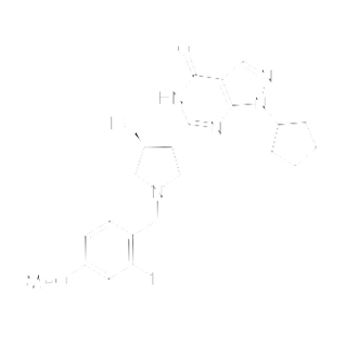 COc1ccc(CN2C[C@@H](C)[C@H](c3nc4c(cnn4C4CCCC4)c(=O)[nH]3)C2)c(F)c1